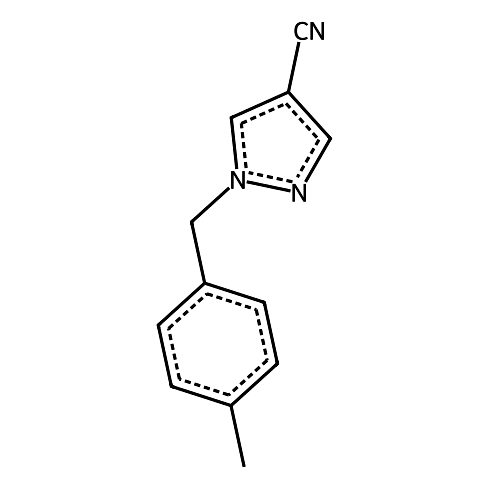 Cc1ccc(Cn2cc(C#N)cn2)cc1